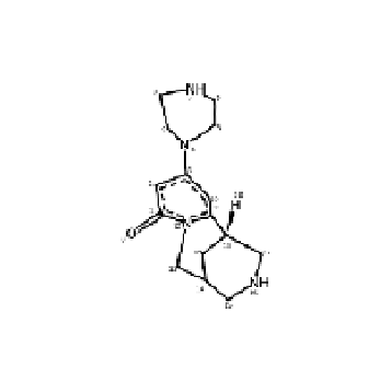 O=c1cc(N2CCNCC2)cc2n1CC1CNC[C@@H]2C1